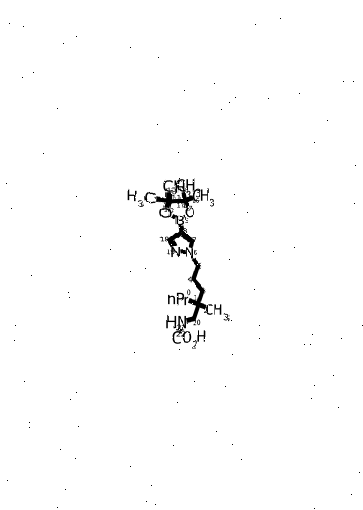 CCCC(C)(CCCn1cc(B2OC(C)(C)C(C)(C)O2)cn1)CNC(=O)O